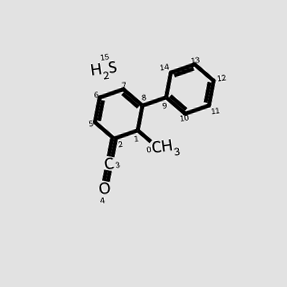 CC1C(=C=O)C=CC=C1c1ccccc1.S